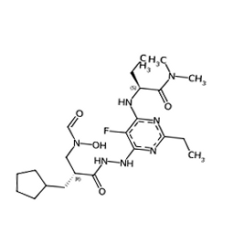 CCc1nc(NNC(=O)[C@H](CC2CCCC2)CN(O)C=O)c(F)c(N[C@@H](CC)C(=O)N(C)C)n1